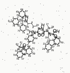 Cc1ccc(C(NCCCC[C@H](NC(=O)[C@H](C(C)C)N(CC2c3ccccc3-c3ccccc32)C(=O)O)C(=O)Nc2ccc(CO[Si](c3ccccc3)(c3ccccc3)C(C)(C)C)cc2)(c2ccccc2)c2ccccc2)cc1